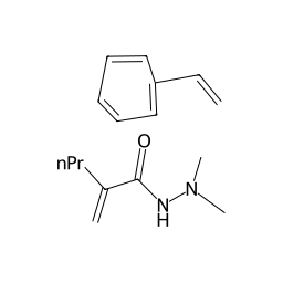 C=C(CCC)C(=O)NN(C)C.C=Cc1ccccc1